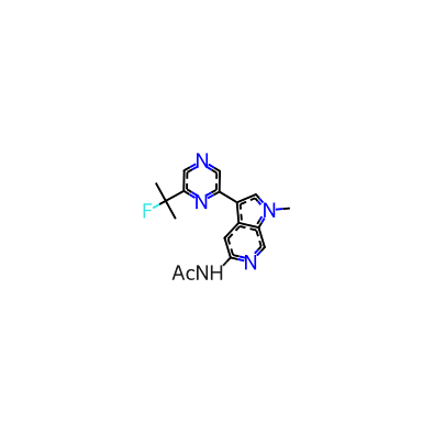 CC(=O)Nc1cc2c(-c3cncc(C(C)(C)F)n3)cn(C)c2cn1